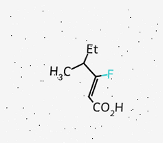 CCC(C)C(F)=CC(=O)O